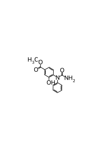 COC(=O)c1ccc(N(C(N)=O)c2ccccc2)c(O)c1